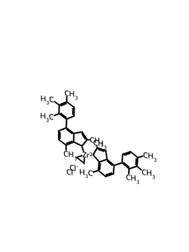 CC1=Cc2c(-c3ccc(C)c(C)c3C)ccc(C)c2[CH]1[Zr+2]1([CH]2C(C)=Cc3c(-c4ccc(C)c(C)c4C)ccc(C)c32)[CH2][CH2]1.[Cl-].[Cl-]